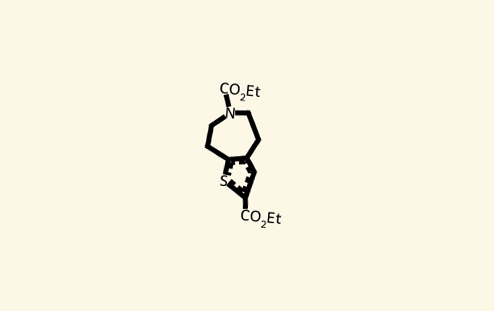 CCOC(=O)c1cc2c(s1)CCN(C(=O)OCC)CC2